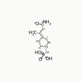 C/C(=C\C(N)=O)c1ccc(CP(=O)(O)O)cc1